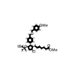 COC(=O)CCCC=CC[C@@H]1[C@@H](c2ccc(COCc3ccc(OC)cc3)cc2)[C@H](O[Si](C)(C)C(C)(C)C)C[C@H]1Cl